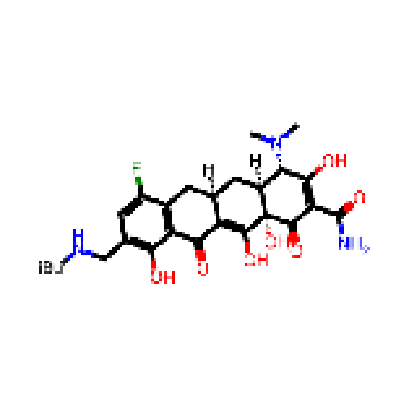 CCC(C)NCc1cc(F)c2c(c1O)C(=O)C1=C(O)[C@]3(O)C(=O)C(C(N)=O)=C(O)[C@@H](N(C)C)[C@@H]3C[C@@H]1C2